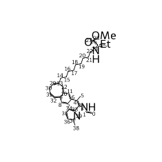 C=CN/C(=C(\C)c1ccc2/c(c1)=C\C(CCCCCCCCCN[C@@H](CC)C(=O)OC)=C/CC=C=2)c1cccc(C)n1